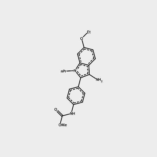 CCCn1c(-c2ccc(NC(=O)OC)cc2)c(N)c2ccc(OCC)cc21